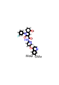 COc1cc2nccc(OC3C=NC(NC(=O)c4cc5c(n(-c6cccc(F)c6)c4=O)CCCC5=O)=CC3)c2cc1OC